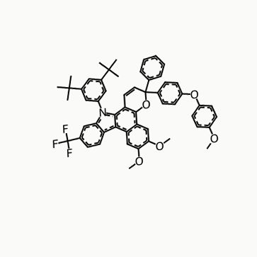 COc1ccc(Oc2ccc(C3(c4ccccc4)C=Cc4c(c5cc(OC)c(OC)cc5c5c6ccc(C(F)(F)F)cc6n(-c6cc(C(C)(C)C)cc(C(C)(C)C)c6)c45)O3)cc2)cc1